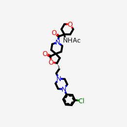 CC(=O)NC1(C(=O)N2CCC3(CC2)C[C@H](CCN2CCN(c4cccc(Cl)c4)CC2)OC3=O)CCOCC1